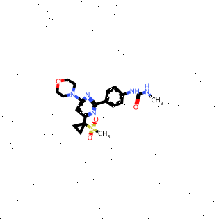 CNC(=O)Nc1ccc(-c2nc(N3CCOCC3)cc(C3(S(C)(=O)=O)CC3)n2)cc1